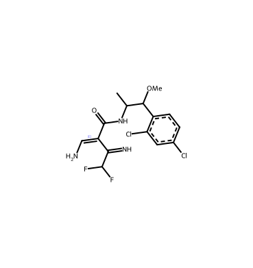 COC(c1ccc(Cl)cc1Cl)C(C)NC(=O)/C(=C/N)C(=N)C(F)F